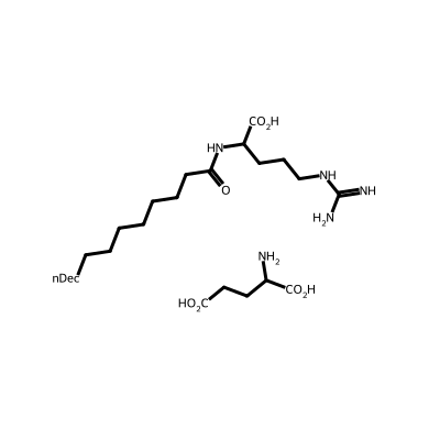 CCCCCCCCCCCCCCCCCC(=O)NC(CCCNC(=N)N)C(=O)O.NC(CCC(=O)O)C(=O)O